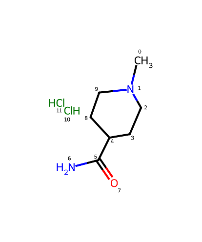 CN1CCC(C(N)=O)CC1.Cl.Cl